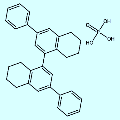 O=P(O)(O)O.c1ccc(-c2cc3c(c(-c4cc(-c5ccccc5)cc5c4CCCC5)c2)CCCC3)cc1